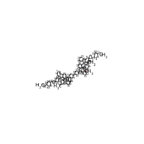 C=Cc1ccc(COc2ccc(C3(c4cc(C)ccc4C)c4ccccc4-c4ccc(N(c5ccc(-c6ccc(N(c7ccc8c(c7)C(c7ccc(OCc9ccc(C=C)cc9)cc7)(c7cc(C)ccc7C)c7ccccc7-8)c7ccccc7F)cc6)cc5)c5ccccc5F)cc43)cc2)cc1